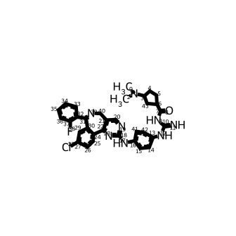 CN(C)C1CCC(C(=O)NC(=N)Nc2ccc(Nc3ncc4c(n3)-c3ccc(Cl)cc3C(c3ccccc3F)=NC4)cc2)C1